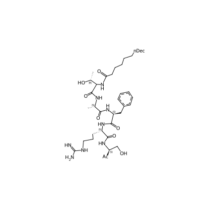 CCCCCCCCCCCCCCCC(=O)NC(C(=O)N[C@@H](C)C(=O)N[C@@H](Cc1ccccc1)C(=O)N[C@@H](CCCNC(=N)N)C(=O)N[C@@H](CO)C(C)=O)[C@@H](C)O